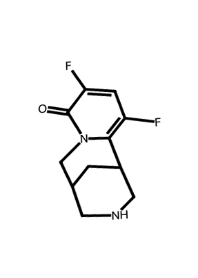 O=c1c(F)cc(F)c2n1CC1CNCC2C1